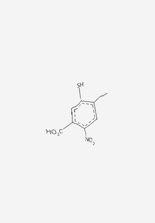 Cc1cc([N+](=O)[O-])c(C(=O)O)cc1S